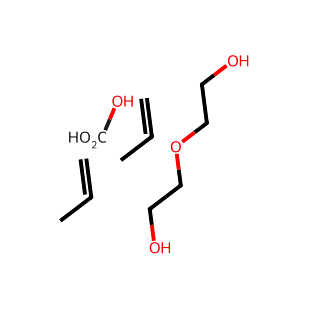 C=CC.C=CC.O=C(O)O.OCCOCCO